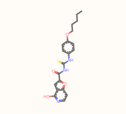 CCCCCOc1ccc(NC(=S)NC(=O)c2cc3c(O)nccc3o2)cc1